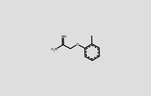 Cc1ccccc1OCC(=N)N